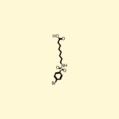 O=C(O)CCCCCCCNS(=O)(=O)c1ccc(Br)cc1